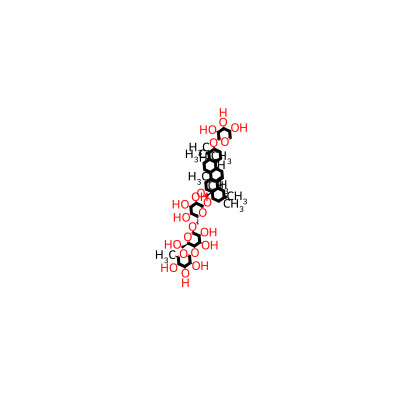 C[C@@H]1O[C@@H](O[C@H]2[C@H](O)[C@@H](O)[C@H](OC[C@H]3O[C@@H](OC(=O)[C@]45CCC(C)(C)C[C@H]4C4=CC[C@@H]6[C@@]7(C)CC[C@H](O[C@@H]8OC[C@H](O)[C@H](O)[C@H]8O)C(C)(C)[C@@H]7CC[C@@]6(C)[C@]4(C)CC5)[C@H](O)[C@@H](O)[C@@H]3O)O[C@@H]2CO)[C@H](O)[C@H](O)[C@H]1O